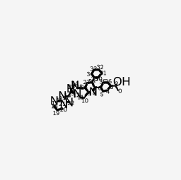 CC(O)c1ccc(-c2nc3ccn4c(-c5nc6ncccn6n5)nnc4c3cc2-c2ccccc2)cc1